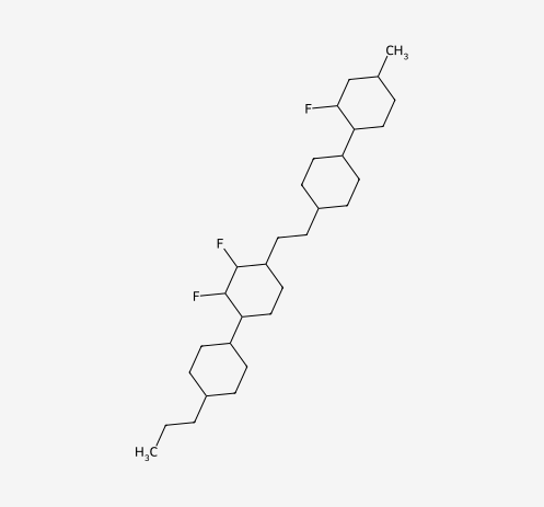 CCCC1CCC(C2CCC(CCC3CCC(C4CCC(C)CC4F)CC3)C(F)C2F)CC1